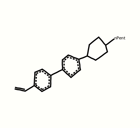 C=Cc1ccc(-c2ccc(C3CCC(CCCCC)CC3)cc2)cc1